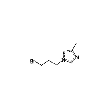 Cc1cn(CCCBr)cn1